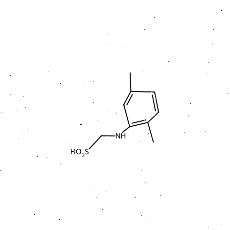 Cc1ccc(C)c(NCS(=O)(=O)O)c1